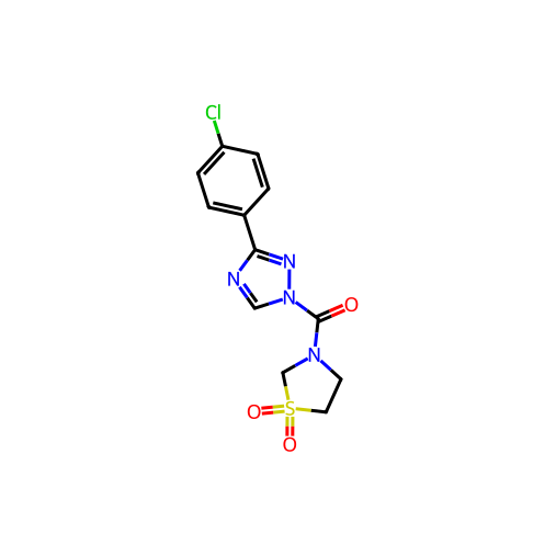 O=C(N1CCS(=O)(=O)C1)n1cnc(-c2ccc(Cl)cc2)n1